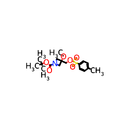 COC1(COS(=O)(=O)c2ccc(C)cc2)CN(C(=O)OC(C)(C)C)C1